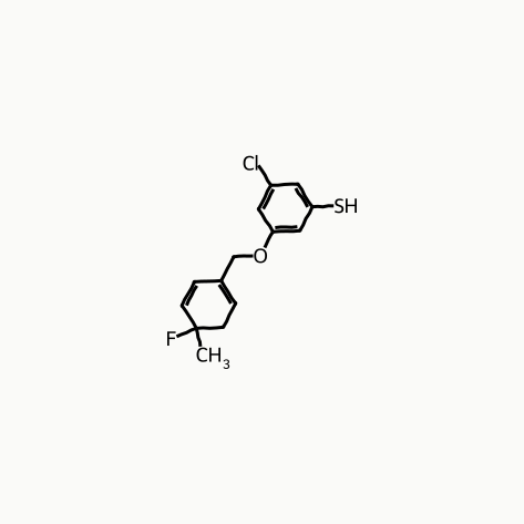 CC1(F)C=CC(COc2cc(S)cc(Cl)c2)=CC1